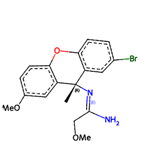 COC/C(N)=N\[C@@]1(C)c2cc(Br)ccc2Oc2ccc(OC)cc21